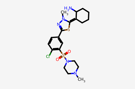 CN1CCN(S(=O)(=O)c2cc(C3=NN(C)C(=C4CCCCC4N)S3)ccc2Cl)CC1